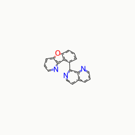 c1cnc2c(-c3cccc4oc5cccnc5c34)nccc2c1